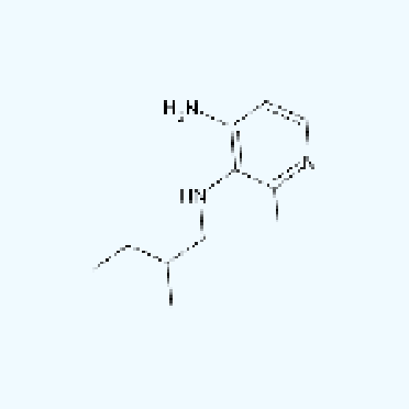 CCC(C)CNc1c(N)ccnc1C